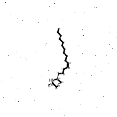 CCCCCCCCCC/C=C\CCC[C@H]1CCC[C@@H](C)N1